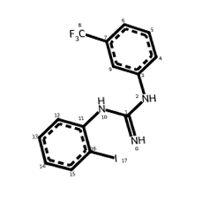 N=C(Nc1cccc(C(F)(F)F)c1)Nc1ccccc1I